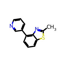 Cc1nc2c(-c3cccnc3)cccc2s1